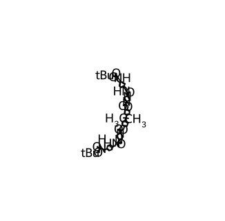 CC(C)(C)OC(=O)NCc1ccc(CNC(=O)N2CCN(C(=O)Oc3ccc(C(C)(C)c4ccc(OC(=O)N5CCN(C(=O)NCc6ccc(CNC(=O)OC(C)(C)C)cc6)CC5)cc4)cc3)CC2)cc1